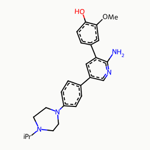 COc1cc(-c2cc(-c3ccc(N4CCN(C(C)C)CC4)cc3)cnc2N)ccc1O